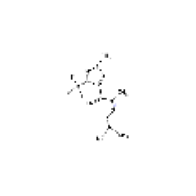 C/C(=C/CC(C)N)C(=N)c1cn(C)nc1C(F)(F)F